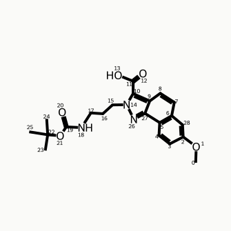 COc1ccc2c(ccc3c(C(=O)O)n(CCCNC(=O)OC(C)(C)C)nc32)c1